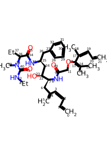 C=C/C=C\C(=C)C[C@H](NC(=O)COC(=C(C)C)/C(C)=C\C=C)[C@@H](O)C[C@H](Cc1ccccc1)NC(=O)C(CC)N(C)C(=O)NCC